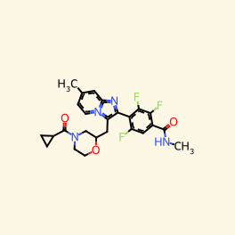 CNC(=O)c1cc(F)c(-c2nc3cc(C)ccn3c2CC2CN(C(=O)C3CC3)CCO2)c(F)c1F